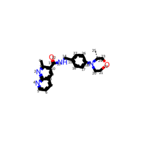 Cc1nc2ncccc2cc1C(=O)NCc1ccc(N2CCOC[C@H]2C)cc1